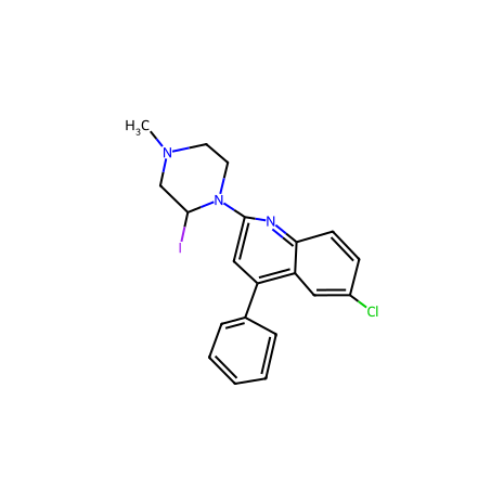 CN1CCN(c2cc(-c3ccccc3)c3cc(Cl)ccc3n2)C(I)C1